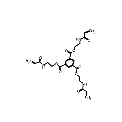 C=CC(=O)NCCOC(=O)c1cc(C(=O)OCCNC(=O)C=C)cc(C(=O)OCCNC(=O)C=C)c1